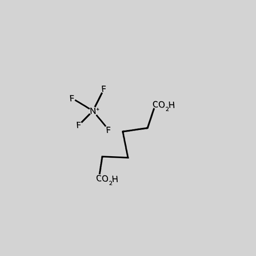 F[N+](F)(F)F.O=C(O)CCCCC(=O)O